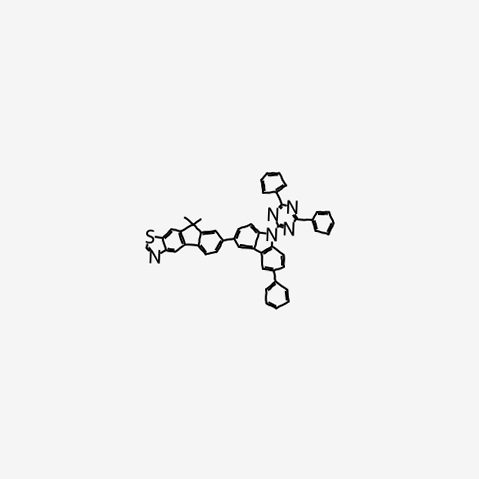 CC1(C)c2cc(-c3ccc4c(c3)c3cc(-c5ccccc5)ccc3n4-c3nc(-c4ccccc4)nc(-c4ccccc4)n3)ccc2-c2cc3ncsc3cc21